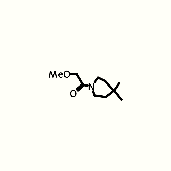 COCC(=O)N1CCC(C)(C)CC1